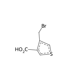 O=C(O)c1cscc1CBr